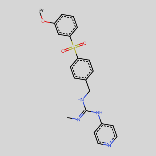 C/N=C(\NCc1ccc(S(=O)(=O)c2cccc(OC(C)C)c2)cc1)Nc1ccncc1